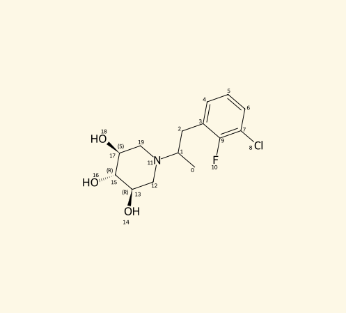 CC(Cc1cccc(Cl)c1F)N1C[C@@H](O)[C@H](O)[C@@H](O)C1